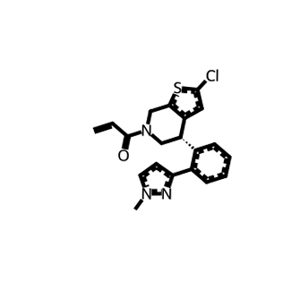 C=CC(=O)N1Cc2sc(Cl)cc2[C@H](c2ccccc2-c2ccn(C)n2)C1